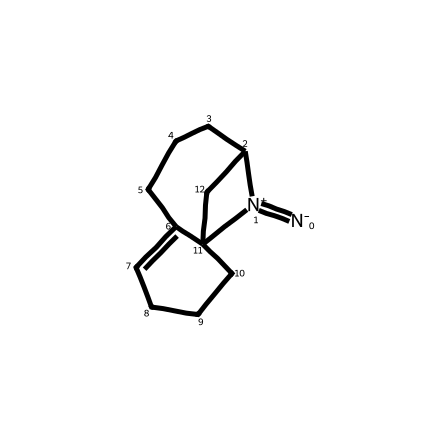 [N-]=[N+]1C2CCCC3=CCCCC31C2